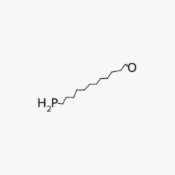 O=CCCCCCCCCCCCP